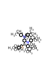 Cc1cc2c(cc1N1c3cc(N(c4ccc(C(C)C)cc4)c4ccc(C(C)C)cc4)ccc3B(c3cc4cc(C(C)(C)C)ccc4s3)c3cc4c(cc31)C(C)(C)CCC4(C)C)C(C)(C)CCC2(C)C